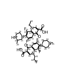 CCn1cc(C(=O)O)c(=O)c2cc(F)c(N3CCNC(C)C3)c(F)c21.CN1CCN(c2c(F)cc3c(=O)c(C(=O)O)cn(CCF)c3c2F)CC1